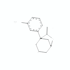 COc1cccc(C23CCCC(C2)NC3C)c1.Cl